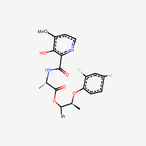 COc1ccnc(C(=O)N[C@@H](C)C(=O)OC(C(C)C)[C@H](C)Oc2ccc(F)cc2F)c1O